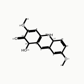 COC1=CC2=CC3=C(C=C(OC)C(=O)C3O)NC2C=C1